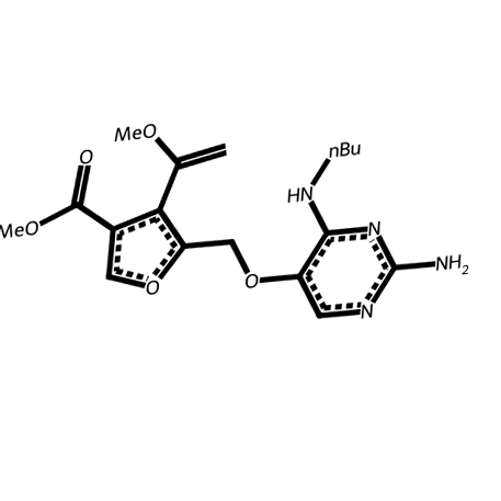 C=C(OC)c1c(C(=O)OC)coc1COc1cnc(N)nc1NCCCC